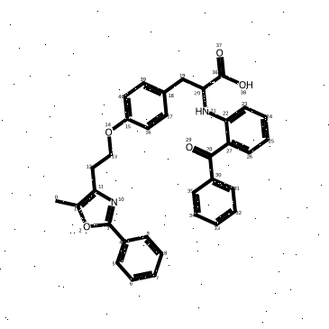 Cc1oc(-c2ccccc2)nc1CCOc1ccc(CC(Nc2ccccc2C(=O)c2ccccc2)C(=O)O)cc1